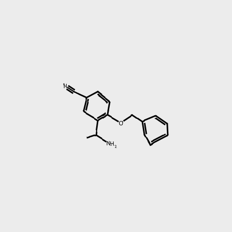 CC(N)c1cc(C#N)ccc1OCc1ccccc1